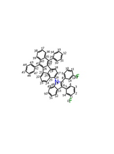 Fc1cccc(-c2c(-c3cccc(F)c3)n(-c3ccc4c5c(cccc35)-c3c-4c(-c4ccccc4)c4ccccc4c3-c3ccccc3)c3ccccc23)c1